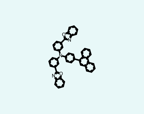 c1cc(-c2nc3ccccc3o2)cc(N(c2ccc(-c3cc4ccccc4c4ccccc34)cc2)c2cccc(-c3nc4ccccc4o3)c2)c1